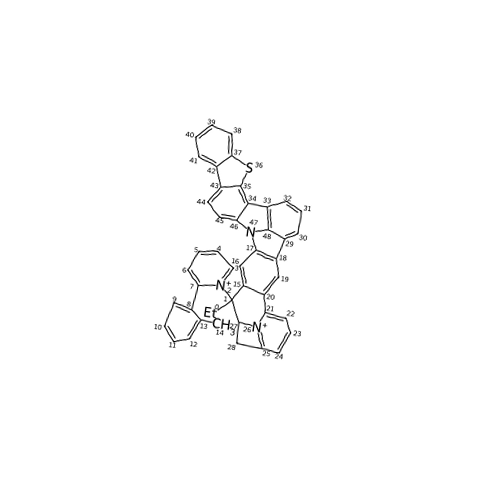 CCC1([n+]2ccccc2-c2ccccc2C)c2cc3c(cc2-c2cccc4[n+]2C1C4)c1cccc2c4c5sc6ccccc6c5ccc4n3c12